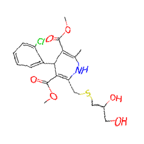 COC(=O)C1=C(C)NC(CSCC(O)CO)=C(C(=O)OC)C1c1ccccc1Cl